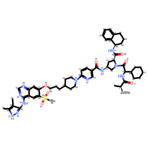 CN[C@@H](C)C(=O)NC(C(=O)N1C[C@@H](NC(=O)c2ccc(N3CCC(CCCOc4cc5ncnc(Nc6n[nH]c(C)c6C)c5cc4S(=O)(=O)C(C)(C)C)CC3)nc2)C[C@H]1C(=O)N[C@@H]1CCCc2ccccc21)C1CCCCC1